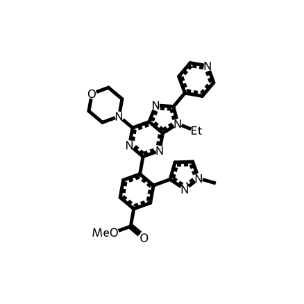 CCn1c(-c2ccncc2)nc2c(N3CCOCC3)nc(-c3ccc(C(=O)OC)cc3-c3ccn(C)n3)nc21